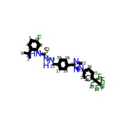 CC(C)c1ccc(F)cc1NC(=S)N/N=C/c1ccc(-c2ncn(-c3ccc(C(F)(F)C(F)(F)F)cc3)n2)cc1